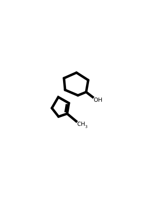 CC1=CCCC1.OC1CCCCC1